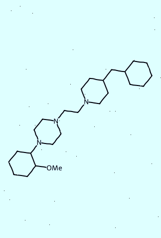 COC1CCCCC1N1CCN(CCN2CCC(CC3CCCCC3)CC2)CC1